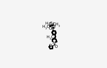 CC1(Cc2ccc(B3OC(C)(C)C(C)(C)O3)cc2)CCN(C(=O)[C@H]2CCCO2)CC1